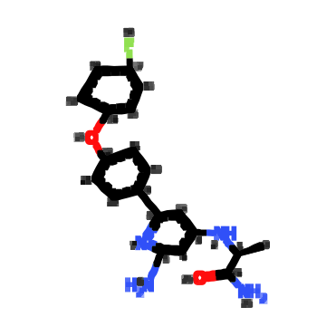 C[C@H](Nc1cc(N)nc(-c2ccc(Oc3ccc(F)cc3)cc2)c1)C(N)=O